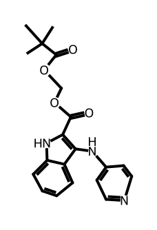 CC(C)(C)C(=O)OCOC(=O)c1[nH]c2ccccc2c1Nc1ccncc1